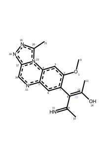 COc1cc2c(cc1/C(C(C)=N)=C(\C)O)ncc1nnc(C)n12